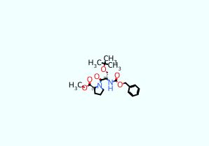 COC(=O)[C@@H]1CCCN1C(=O)[C@H](COC(C)(C)C)NC(=O)OCc1ccccc1